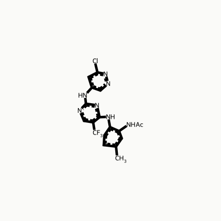 CC(=O)Nc1cc(C)ccc1Nc1nc(Nc2cnnc(Cl)c2)ncc1C(F)(F)F